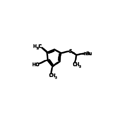 CCCCC(C)Sc1cc(C)c(O)c(C)c1